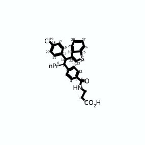 CCC[C@H](c1ccc(C(=O)NCCC(=O)O)cc1)C(c1ccc(Cl)cc1)c1csc2ccccc12